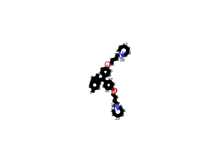 CC1CC2CC(C)C(=C(c3ccc(OCCCC[N+]4(C)CCCCCC4)cc3)c3ccc(OCCCC[N+]4(C)CCCCCC4)cc3)C(C1)C2